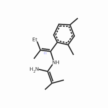 CC/C(C)=C(/NC(N)=C(C)C)c1ccc(C)cc1C